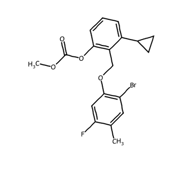 COC(=O)Oc1cccc(C2CC2)c1COc1cc(F)c(C)cc1Br